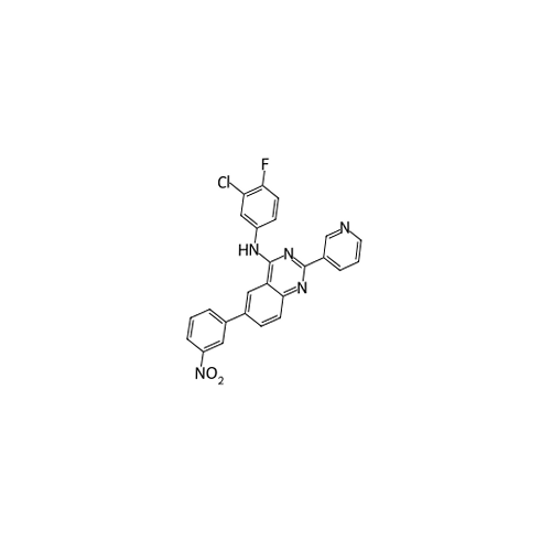 O=[N+]([O-])c1cccc(-c2ccc3nc(-c4cccnc4)nc(Nc4ccc(F)c(Cl)c4)c3c2)c1